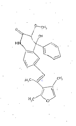 COC1C(=O)Nc2ccc(/C=C(\C)c3c(C)coc3C)cc2C1(O)c1ccccc1